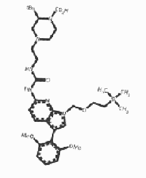 COc1cccc(OC)c1-c1cn(COCC[Si](C)(C)C)c2nc(NC(=O)NCCN3CCN(C(=O)O)C(C(C)(C)C)C3)ccc12